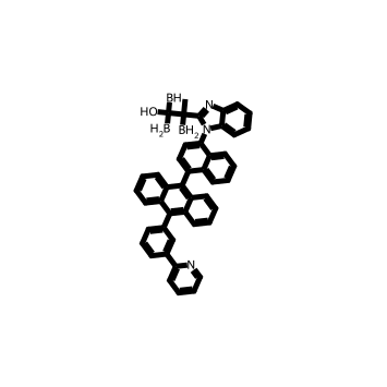 BC(B)(O)C(B)(C)c1nc2ccccc2n1-c1ccc(-c2c3ccccc3c(-c3cccc(-c4ccccn4)c3)c3ccccc23)c2ccccc12